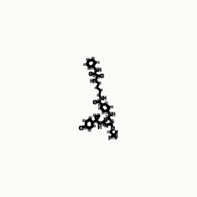 O=C(NCCCCNC(=O)c1ccc(Nc2nc(NC3(c4ccc(Cl)cc4)CC3)nc(OCC(F)(F)F)n2)cc1)C(=O)Nc1ccccc1